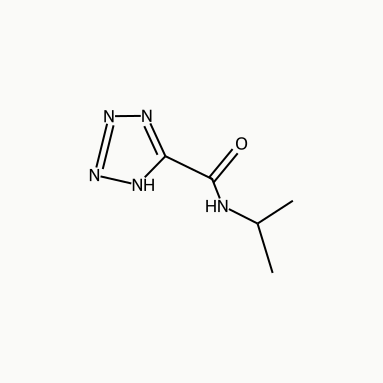 CC(C)NC(=O)c1nnn[nH]1